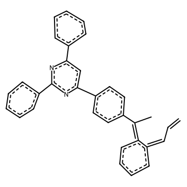 C=C/C=c1/cccc/c1=C(/C)c1ccc(-c2cc(-c3ccccc3)nc(-c3ccccc3)n2)cc1